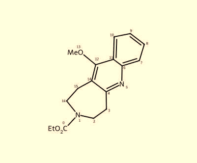 CCOC(=O)N1CCc2nc3ccccc3c(OC)c2CC1